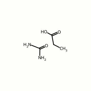 CCC(=O)O.NC(N)=O